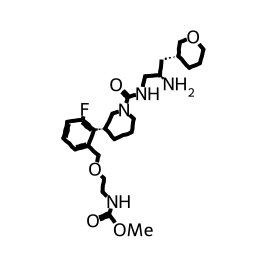 COC(=O)NCCOCc1cccc(F)c1[C@H]1CCCN(C(=O)NC[C@@H](N)C[C@H]2CCCOC2)C1